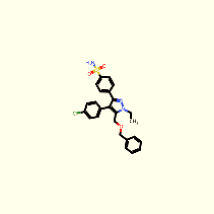 CCn1nc(-c2ccc(S(N)(=O)=O)cc2)c(-c2ccc(Cl)cc2)c1COCc1ccccc1